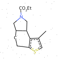 CCOC(=O)N1CC2CCc3scc(C)c3C2C1